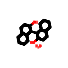 O.Oc1ccc2ccccc2c1-c1c(O)ccc2ccccc12